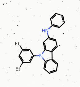 CCc1cc(CC)cc(-n2c3ccccc3c3ccc(Nc4ccccc4)cc32)c1